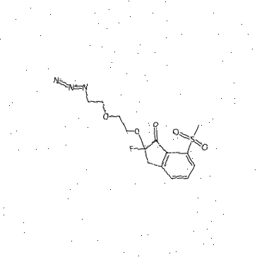 CS(=O)(=O)c1cccc2c1C(=O)C(F)(OCCOCCN=[N+]=[N-])C2